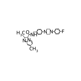 CCC1N=C2C=C(C)C=CN2C1C(=O)NCc1ccc(N2CCN(c3ccc(F)cc3)CC2)cc1